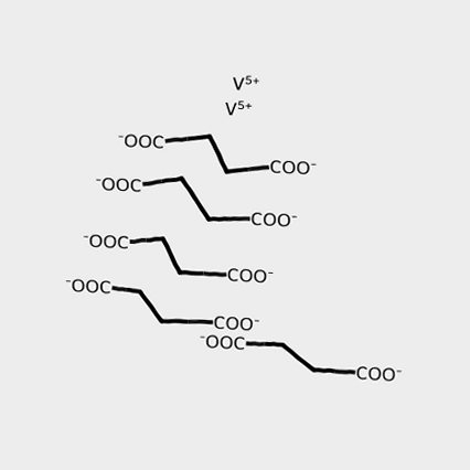 O=C([O-])CCC(=O)[O-].O=C([O-])CCC(=O)[O-].O=C([O-])CCC(=O)[O-].O=C([O-])CCC(=O)[O-].O=C([O-])CCC(=O)[O-].[V+5].[V+5]